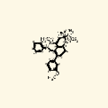 CNC1=CC(NC)(NC)Nc2ccc(-c3cccc(OC)c3)c(CNc3ccccc3)c21